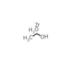 CCO.O.[Zr]